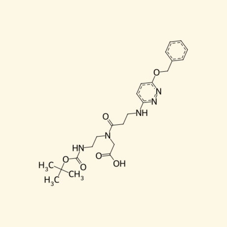 CC(C)(C)OC(=O)NCCN(CC(=O)O)C(=O)CCNc1ccc(OCc2ccccc2)nn1